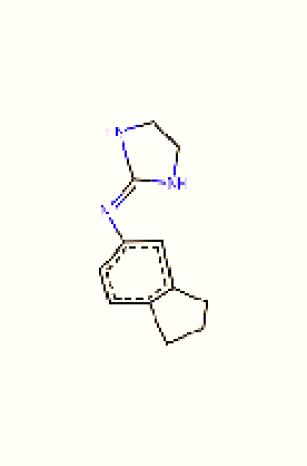 c1cc2c(cc1N=C1NCCN1)CCC2